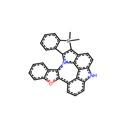 C[Si]1(C)c2ccccc2-c2c1c1ccc3[nH]c4cccc5c6oc7ccccc7c6n2c1c3c45